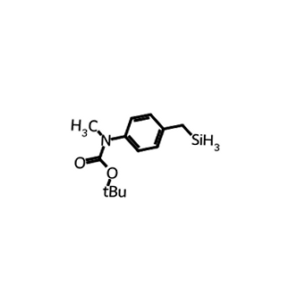 CN(C(=O)OC(C)(C)C)c1ccc(C[SiH3])cc1